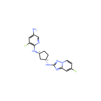 Nc1cnc(N[C@H]2CC[C@H](Nc3nc4cc(F)ccn4n3)C2)c(F)c1